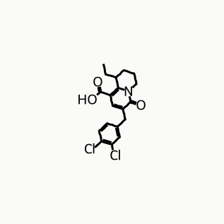 CCC1CCCn2c1c(C(=O)O)cc(Cc1ccc(Cl)c(Cl)c1)c2=O